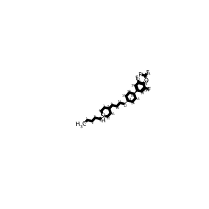 CCCCC[SiH]1CCC(CCCC[C@H]2CC[C@H](c3cc(F)c(OC(F)F)c(F)c3)CC2)CC1